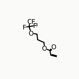 C=CC(=O)OCCCOC(F)(F)C(F)(F)F